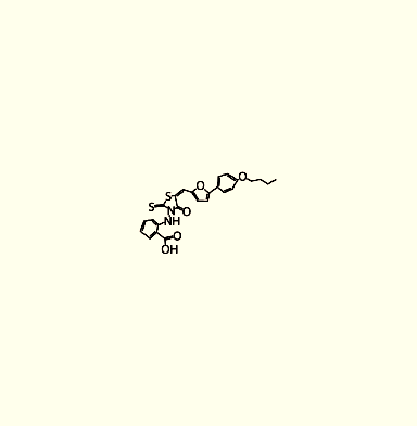 CCCCOc1ccc(-c2ccc(/C=C3/SC(=S)N(Nc4ccccc4C(=O)O)C3=O)o2)cc1